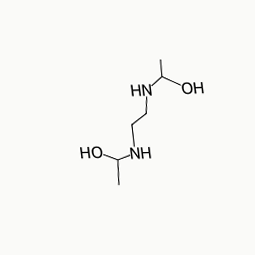 CC(O)NCCNC(C)O